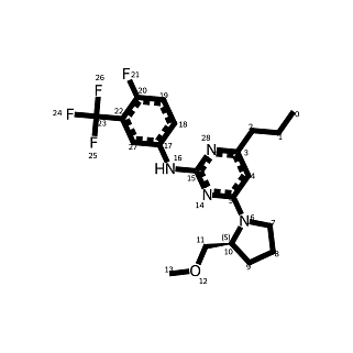 CCCc1cc(N2CCC[C@H]2COC)nc(Nc2ccc(F)c(C(F)(F)F)c2)n1